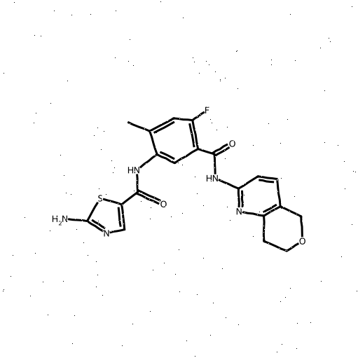 Cc1cc(F)c(C(=O)Nc2ccc3c(n2)CCOC3)cc1NC(=O)c1cnc(N)s1